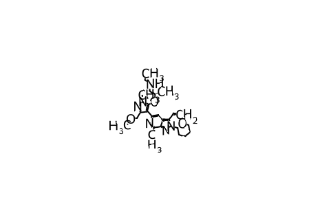 C=Cc1c2cc(-c3c(COC)nn(C)c3O[C@@H](C)CNCC)nc(C)c2nn1C1CCCCO1